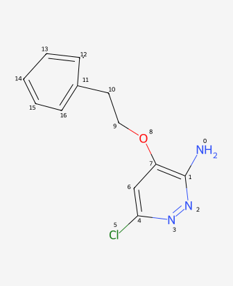 Nc1nnc(Cl)cc1OCCc1[c]cccc1